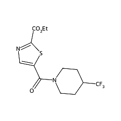 CCOC(=O)c1ncc(C(=O)N2CCC(C(F)(F)F)CC2)s1